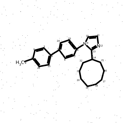 Cc1ccc(-c2ccc(-n3ccnc3C3CCCCCCCC3)cc2)cc1